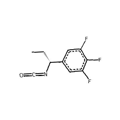 CC[C@@H](N=C=O)c1cc(F)c(F)c(F)c1